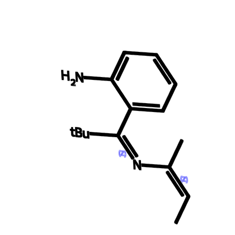 C/C=C(C)\N=C(/c1ccccc1N)C(C)(C)C